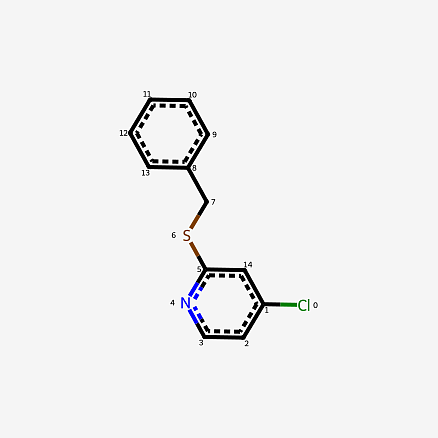 Clc1ccnc(SCc2ccccc2)c1